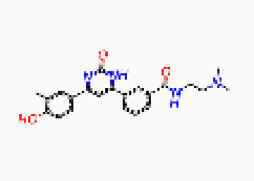 Cc1cc(-c2cc(-c3cccc(C(=O)NCCN(C)C)c3)[nH]c(=O)n2)ccc1O